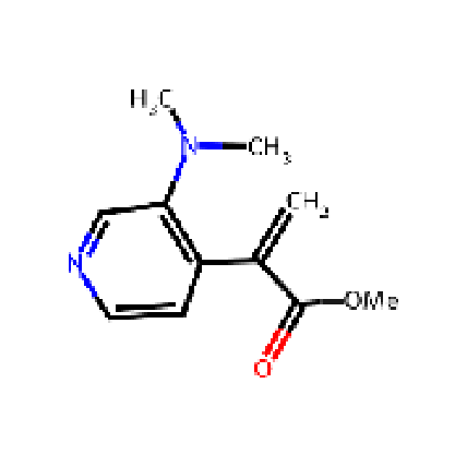 C=C(C(=O)OC)c1ccncc1N(C)C